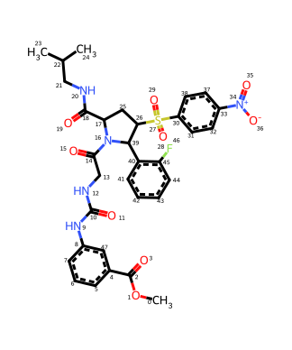 COC(=O)c1cccc(NC(=O)NCC(=O)N2C(C(=O)NCC(C)C)CC(S(=O)(=O)c3ccc([N+](=O)[O-])cc3)C2c2ccccc2F)c1